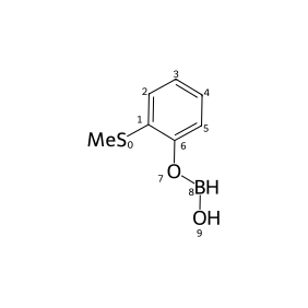 CSc1ccccc1OBO